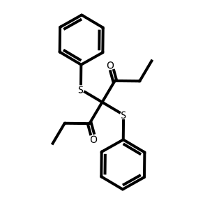 CCC(=O)C(Sc1ccccc1)(Sc1ccccc1)C(=O)CC